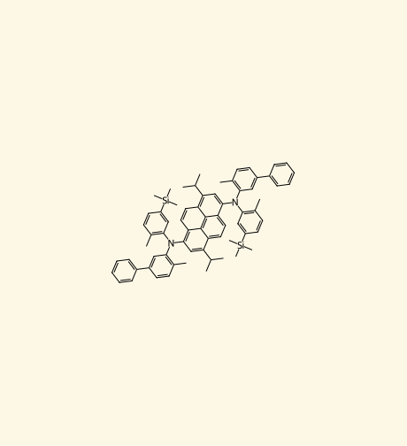 Cc1ccc(-c2ccccc2)cc1N(c1cc([Si](C)(C)C)ccc1C)c1cc(C(C)C)c2ccc3c(N(c4cc(-c5ccccc5)ccc4C)c4cc([Si](C)(C)C)ccc4C)cc(C(C)C)c4ccc1c2c43